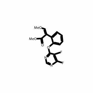 COC=C(C(=O)OC)c1ccccc1Oc1ncnc(F)c1F